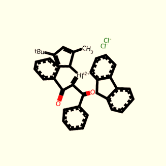 CC1=CC(C(C)(C)C)=C[CH]1[Hf+2](=[C](C(=O)c1ccccc1)C(=O)c1ccccc1)[c]1cccc2c1Cc1ccccc1-2.[Cl-].[Cl-]